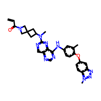 C=CC(=O)N1CC2(CC(N(C)c3ncc4ncnc(Nc5ccc(Oc6ccc7c(c6)nnn7C)c(C)c5)c4n3)C2)C1